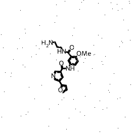 COc1ccc(NC(=O)c2cncc(-c3ccco3)c2)cc1C(=O)NCCCN